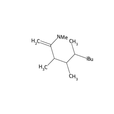 C=C(NC)C(C)C(C)C(C)C(C)CC